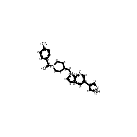 N#Cc1ccc(C(=O)N2CCC(Cn3ccc4cc(-c5cn[nH]c5)cnc43)CC2)cc1